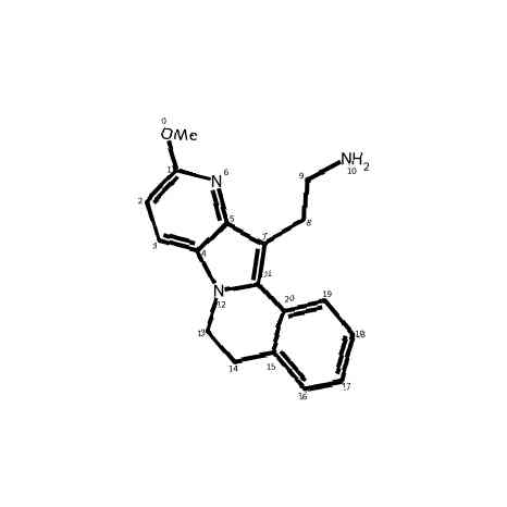 COc1ccc2c(n1)c(CCN)c1n2CCc2ccccc2-1